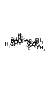 COc1ccc(CC2(CN(C)CCC[C@@H]3CCc4cc(OC)c(OC)cc4N[C@@H]3C=O)CCC2)cc1OC